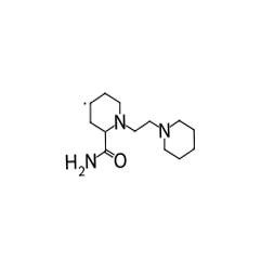 NC(=O)C1C[CH]CCN1CCN1CCCCC1